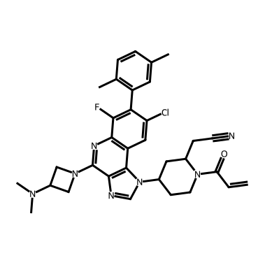 C=CC(=O)N1CCC(n2cnc3c(N4CC(N(C)C)C4)nc4c(F)c(-c5cc(C)ccc5C)c(Cl)cc4c32)CC1CC#N